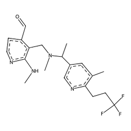 CNc1nccc(C=O)c1CN(C)C(C)c1cnc(CCC(F)(F)F)c(C)c1